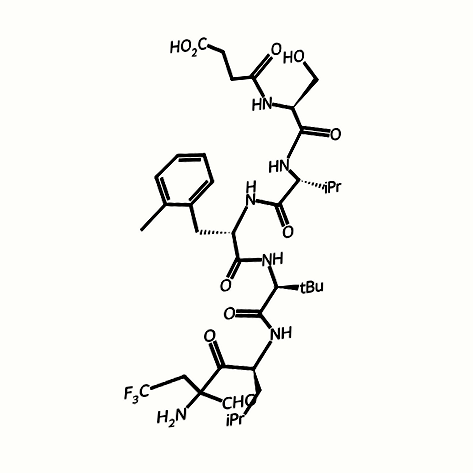 Cc1ccccc1C[C@H](NC(=O)[C@H](NC(=O)[C@H](CO)NC(=O)CCC(=O)O)C(C)C)C(=O)N[C@H](C(=O)N[C@@H](CC(C)C)C(=O)C(N)(C=O)CC(F)(F)F)C(C)(C)C